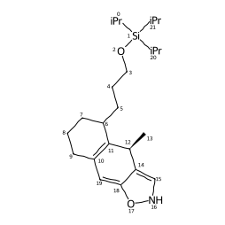 CC(C)[Si](OCCCC1CCCC2=C1[C@@H](C)C1=CNOC1=C2)(C(C)C)C(C)C